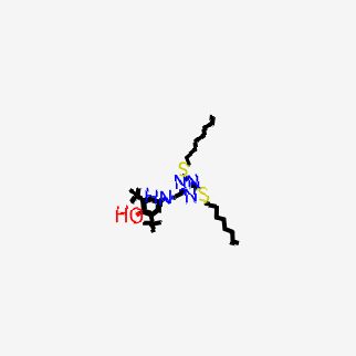 CCCCCCCCSc1nc(CNc2cc(C(C)(C)C)c(O)c(C(C)(C)C)c2)nc(SCCCCCCCC)n1